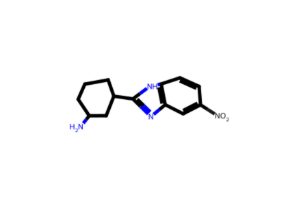 NC1CCCC(c2nc3cc([N+](=O)[O-])ccc3[nH]2)C1